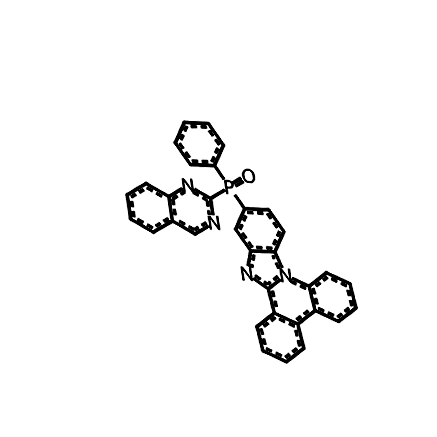 O=P(c1ccccc1)(c1ccc2c(c1)nc1c3ccccc3c3ccccc3n21)c1ncc2ccccc2n1